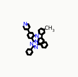 Cc1ccc2c(c1)c1ccccc1n2-c1cc(-c2ccncc2)ccc1-c1nc(-c2ccccc2)nc(-c2ccccc2)n1